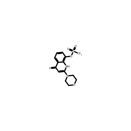 O=c1cc(N2CCOCC2)[nH]c2c(OS(=O)(=O)C(F)(F)F)cccc12